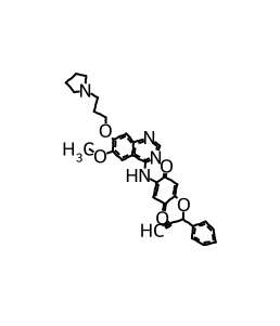 C#CC(OC1=CC(=O)C(Nc2ncnc3cc(OCCCN4CCCC4)c(OC)cc23)=CC1=O)c1ccccc1